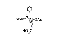 CCCCCC(OCc1ccccc1)[C@H]1C[C@@H](OC(C)=O)[C@H](C/C=C/C(=O)O)O1